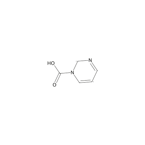 O=C(O)N1[CH]N=C[C]=C1